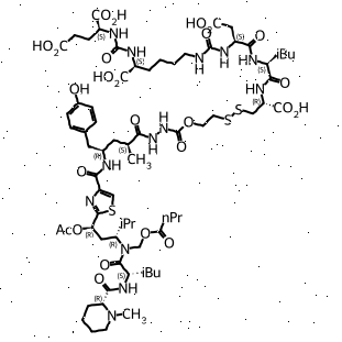 CCCC(=O)OCN(C(=O)[C@@H](NC(=O)[C@H]1CCCCN1C)C(C)CC)[C@H](C[C@@H](OC(C)=O)c1nc(C(=O)N[C@@H](Cc2ccc(O)cc2)C[C@H](C)C(=O)NNC(=O)OCCSSC[C@H](NC(=O)[C@@H](NC(=O)[C@H](CC(=O)O)NC(=O)NCCCC[C@H](NC(=O)N[C@@H](CCC(=O)O)C(=O)O)C(=O)O)C(C)CC)C(=O)O)cs1)C(C)C